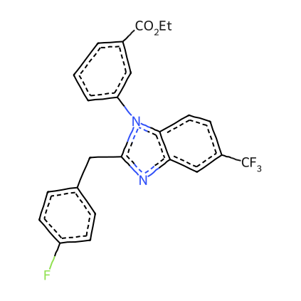 CCOC(=O)c1cccc(-n2c(Cc3ccc(F)cc3)nc3cc(C(F)(F)F)ccc32)c1